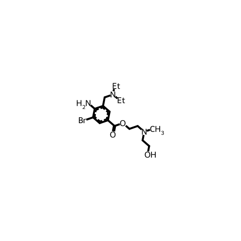 CCN(CC)Cc1cc(C(=O)OCCN(C)CCO)cc(Br)c1N